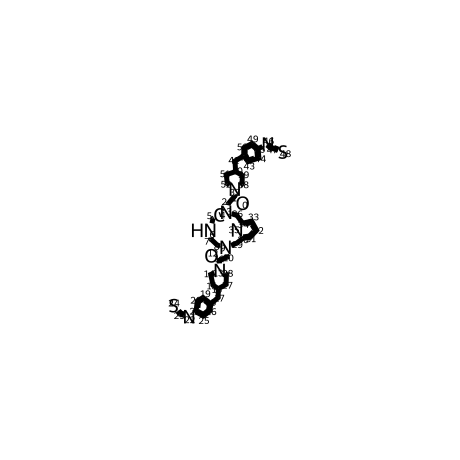 O=C(CN1CCNCCN(CC(=O)N2CCC(Cc3ccc(N=C=S)cc3)CC2)Cc2cccc(n2)C1)N1CCC(Cc2ccc(N=C=S)cc2)CC1